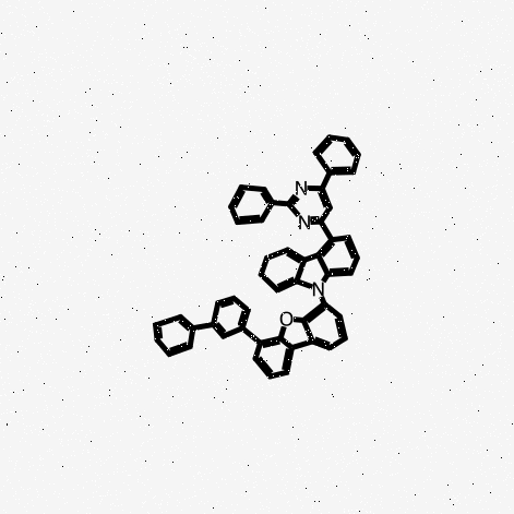 C1=c2c(n(-c3cccc4c3oc3c(-c5cccc(-c6ccccc6)c5)cccc34)c3cccc(-c4cc(-c5ccccc5)nc(-c5ccccc5)n4)c23)=CCC1